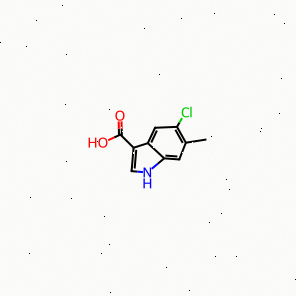 Cc1cc2[nH]cc(C(=O)O)c2cc1Cl